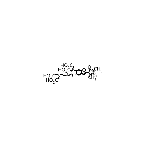 CN1C(=O)C(c2cc3cc(OCCOCCN(CC(=O)O)CC(=O)O)c(N(CC(=O)O)CC(=O)O)cc3o2)N(C)C1=S